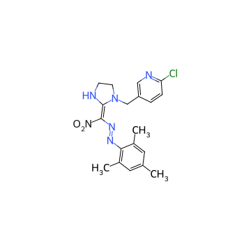 Cc1cc(C)c(/N=N/C(=C2/NCCN2Cc2ccc(Cl)nc2)[N+](=O)[O-])c(C)c1